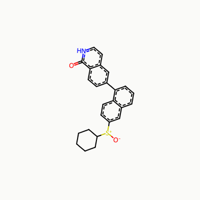 O=c1[nH]ccc2cc(-c3cccc4cc([S+]([O-])C5CCCCC5)ccc34)ccc12